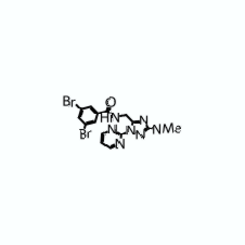 CNc1nc(CNC(=O)c2cc(Br)cc(Br)c2)n(-c2ncccn2)n1